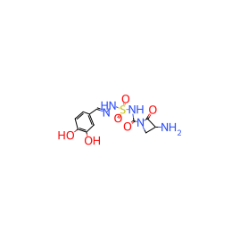 NC1CN(C(=O)NS(=O)(=O)NN=Cc2ccc(O)c(O)c2)C1=O